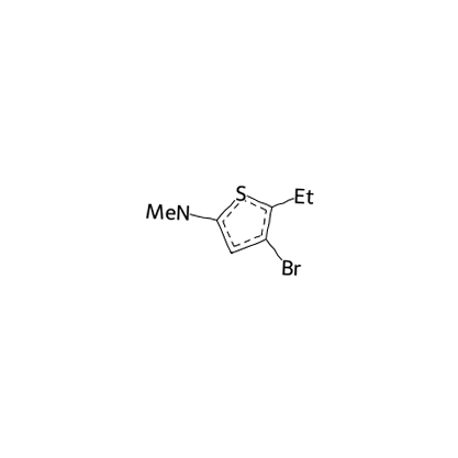 CCc1sc(NC)cc1Br